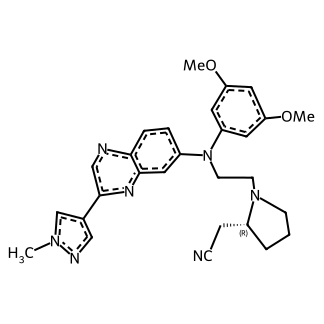 COc1cc(OC)cc(N(CCN2CCC[C@@H]2CC#N)c2ccc3ncc(-c4cnn(C)c4)nc3c2)c1